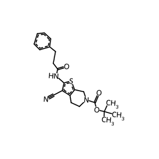 CC(C)(C)OC(=O)N1CCc2c(sc(NC(=O)CCc3ccccc3)c2C#N)C1